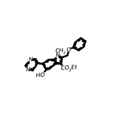 CCOC(=O)c1c(COc2ccccc2)n(C)c2cc(-c3cncnc3)c(O)cc12